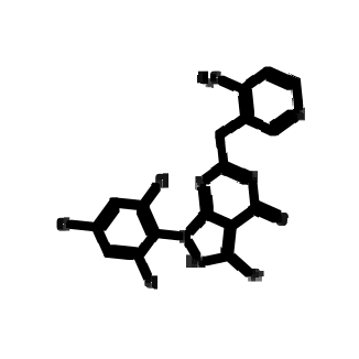 Cc1ccncc1Cc1nc2n(-c3c(Cl)cc(Cl)cc3Cl)[nH]c(C(C)C)c-2c(=O)n1